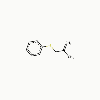 C=C(C)CSc1ccccc1